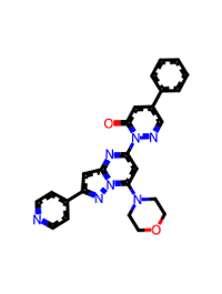 O=c1cc(-c2ccccc2)cnn1-c1cc(N2CCOCC2)n2nc(-c3ccncc3)cc2n1